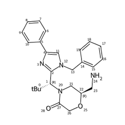 CC(C)(C)[C@H](c1nc(-c2ccccc2)cn1Cc1ccccc1)N1C[C@@H](CN)OCC1=O